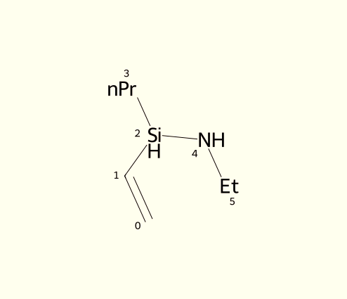 C=C[SiH](CCC)NCC